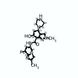 Cc1cn2cc(NC(=O)c3c(O)cc(N4CCNCC4)c4cn(C)nc34)cc(F)c2n1